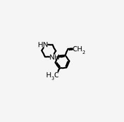 C1CNCCN1.C=Cc1ccc(C)cc1